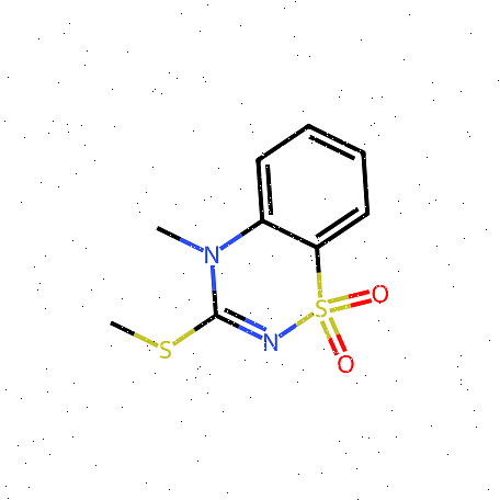 CSC1=NS(=O)(=O)c2ccccc2N1C